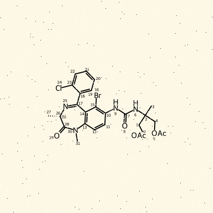 CC(=O)OCC(C)(COC(C)=O)NC(=O)Nc1ccc2c(c1Br)C(c1ccccc1Cl)=N[C@@H](C)C(=O)N2C